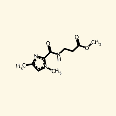 COC(=O)CCNC(=O)c1nc(C)cn1C